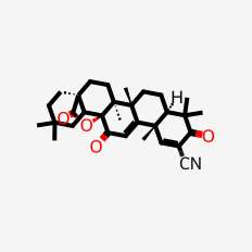 CC1(C)CC[C@@]23CC[C@@]4(C)[C@]5(C)CC[C@H]6C(C)(C)C(=O)C(C#N)=C[C@]6(C)C5=CC(=O)[C@]4(OC2=O)C3C1